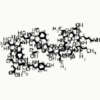 CC[C@H](C)[C@H](NC(=O)[C@H](CCCCN)NC(=O)[C@H](CC(=O)O)NC(=O)[C@H](CC(C)C)NC(=O)C(C)(C)NC(=O)[C@@H](NC(=O)[C@H](CO)NC(=O)[C@H](Cc1ccc(O)cc1)NC(=O)[C@H](CC(=O)O)NC(=O)[C@H](CO)NC(=O)[C@@H](NC(=O)[C@H](Cc1ccccc1)NC(=O)[C@@H](NC(=O)CNC(=O)[C@H](CCC(=O)O)NC(=O)C(C)(C)NC(=O)[C@@H](N)Cc1ccc(O)cc1)[C@@H](C)O)[C@@H](C)O)[C@@H](C)CC)C(=O)N[C@@H](C)C(=O)O